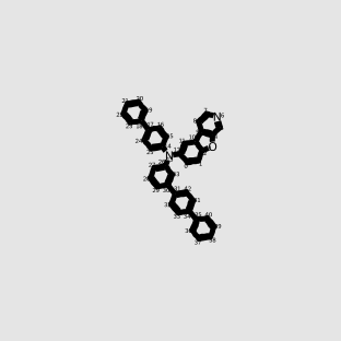 C1=CC2Oc3cnccc3C2C=C1N(c1ccc(-c2ccccc2)cc1)c1cccc(-c2ccc(-c3ccccc3)cc2)c1